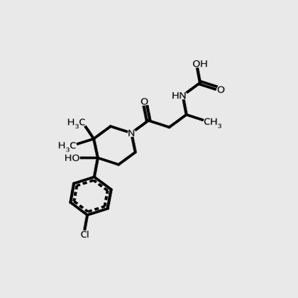 CC(CC(=O)N1CCC(O)(c2ccc(Cl)cc2)C(C)(C)C1)NC(=O)O